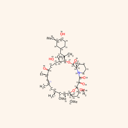 CC[C@@H]1/C=C(/C)C[C@H](C)C[C@H](OC)[C@H]2O[C@@](O)(C(=O)C(=O)N3CCCC[C@H]3C(=O)O[C@H](C(C)CC3CC[C@@H](O)[C@H](OC)C3)[C@H](C)[C@@H](O)CC1=O)[C@H](C)C[C@@H]2OC